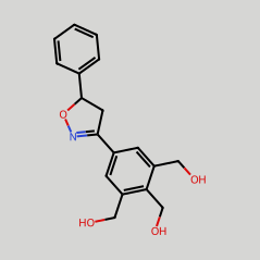 OCc1cc(C2=NOC(c3ccccc3)C2)cc(CO)c1CO